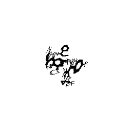 CCC(Nc1c(C#N)cnc2c(Cl)cc(NC(c3ccc(F)cc3)c3cn(C4(C(F)(F)F)CC4)nn3)cc12)c1ccccc1